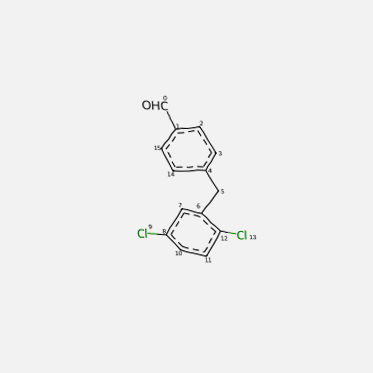 O=Cc1ccc(Cc2cc(Cl)ccc2Cl)cc1